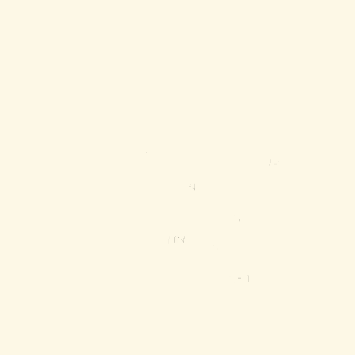 O=Cc1cc(Br)cnc1Sc1ccccc1CNC(=O)O